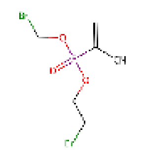 C=C(C#N)P(=O)(OCBr)OCCBr